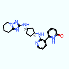 O=c1cccc(-c2cccnc2N[C@H]2CC[C@H](Nc3nc4n(n3)CCCC4)C2)[nH]1